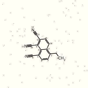 [CH2]Cc1ccc(C#N)c2c(C#N)c(C#N)ccc12